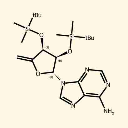 C=C1O[C@@H](n2cnc3c(N)ncnc32)[C@H](O[Si](C)(C)C(C)(C)C)[C@@H]1O[Si](C)(C)C(C)(C)C